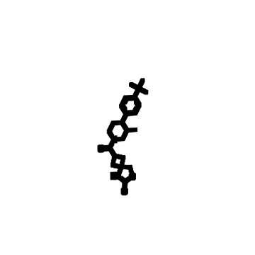 CC1CN(C(=O)C2CC3(COC(=O)N3)C2)CCC1c1ccc(C(C)(C)C)cc1